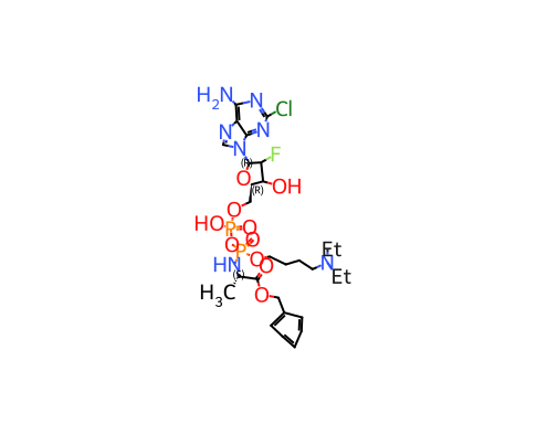 CCN(CC)CCCCOP(=O)(N[C@@H](C)C(=O)OCc1ccccc1)OP(=O)(O)OC[C@H]1O[C@@H](n2cnc3c(N)nc(Cl)nc32)C(F)C1O